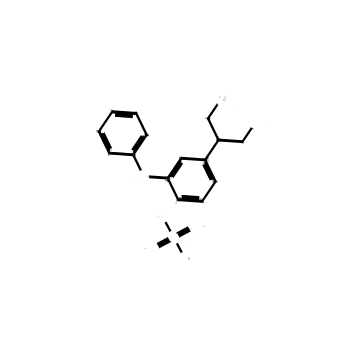 CCC(CN)c1cccc(Oc2ccccc2)c1.O=S(=O)(O)O